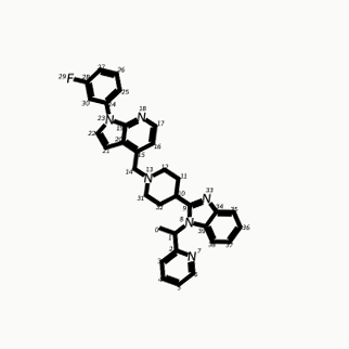 CC(c1ccccn1)n1c(C2CCN(Cc3ccnc4c3ccn4-c3cccc(F)c3)CC2)nc2ccccc21